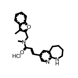 Cc1c(CN(C)C(=O)C=Cc2cnc3c(c2)CCCCN3)oc2ccccc12.Cl